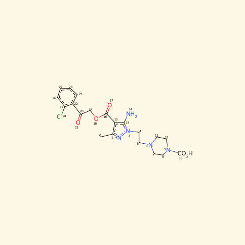 Cc1nn(CCN2CCN(C(=O)O)CC2)c(N)c1C(=O)OCC(=O)c1ccccc1Cl